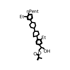 C=C(C)C(=O)OCC(CO)c1ccc(C2CCC(C3CCC(c4ccc(CCCCC)c(CC)c4)CC3)CC2)c(CC)c1